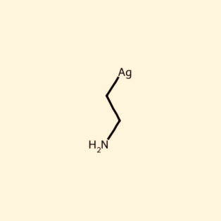 NC[CH2][Ag]